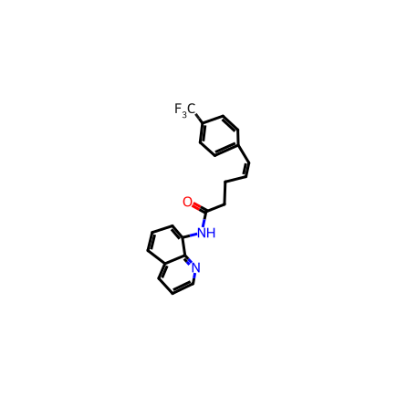 O=C(CC/C=C\c1ccc(C(F)(F)F)cc1)Nc1cccc2cccnc12